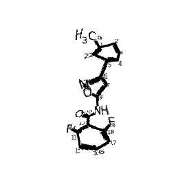 Cc1cccc(-c2cc(NC(=O)c3c(F)cccc3F)on2)c1